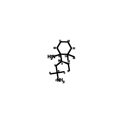 CC[C@@H](CC(C)(C)N)C1(N)CCCCC1(C)C